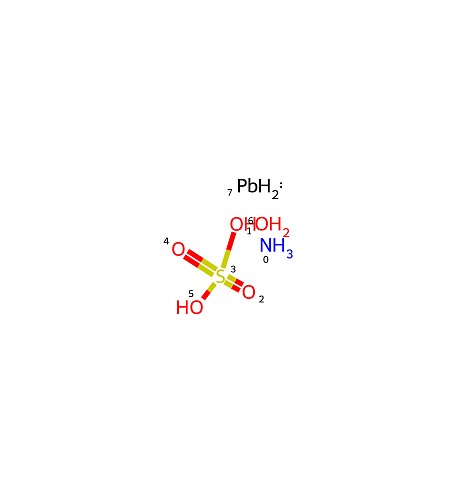 N.O.O=S(=O)(O)O.[PbH2]